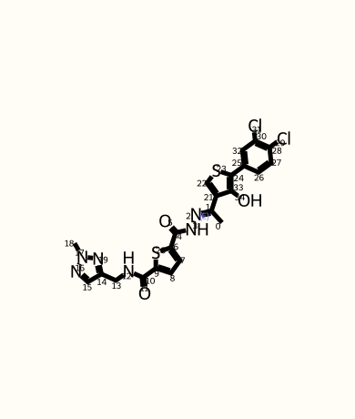 C/C(=N\NC(=O)c1ccc(C(=O)NCc2cnn(C)n2)s1)c1csc(-c2ccc(Cl)c(Cl)c2)c1O